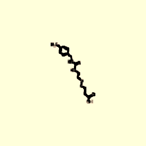 Cc1ccc(CNC(=S)NCCSSCCC(=O)O)cc1